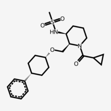 CS(=O)(=O)N[C@H]1CCCN(C(=O)C2CC2)[C@H]1CO[C@H]1CC[C@@H](c2ccccc2)CC1